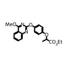 CCOC(=O)C(C)Oc1ccc(Oc2nc(OC)c3ccccc3n2)cc1